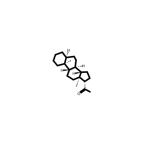 CC(=O)[C@H]1CC[C@H]2[C@@H]3CC[C@@H]4CCCC[C@]4(C)[C@H]3CC[C@]12C